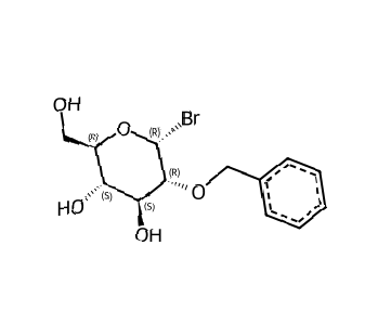 OC[C@H]1O[C@H](Br)[C@H](OCc2ccccc2)[C@@H](O)[C@@H]1O